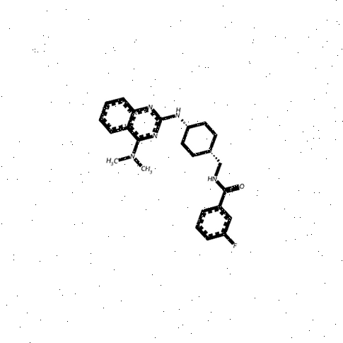 CN(C)c1nc(N[C@H]2CC[C@@H](CNC(=O)c3cccc(F)c3)CC2)nc2ccccc12